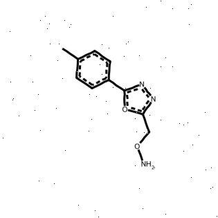 Cc1ccc(-c2nnc(CON)o2)cc1